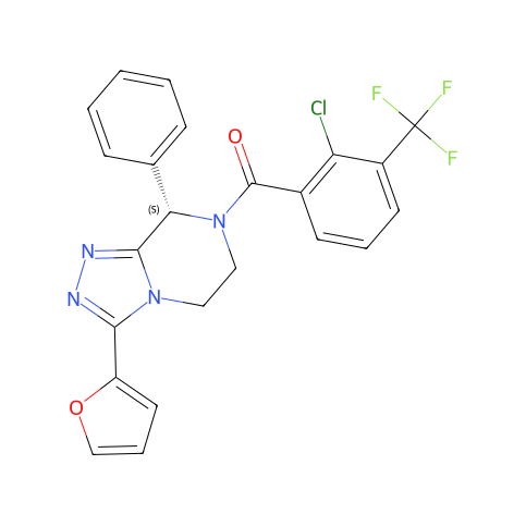 O=C(c1cccc(C(F)(F)F)c1Cl)N1CCn2c(-c3ccco3)nnc2[C@@H]1c1ccccc1